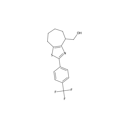 OCC1CCCCc2sc(-c3ccc(C(F)(F)F)cc3)nc21